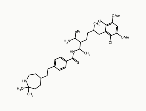 CCCC(N)C(CCC(C)Cc1c(Cl)c(OC)cc(OC)c1Cl)C(C)NC(=S)c1ccc(CCC2CCNC(C)(C)CC2)cc1